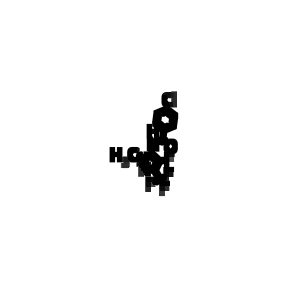 Cn1nc(C(F)(F)F)c(F)c1NC(=O)c1ccc(Cl)cc1